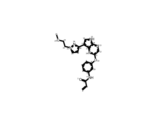 C=CC(=O)Nc1cccc(Oc2cnc3[nH]cc(-c4ccn(CCOC)n4)c3n2)c1